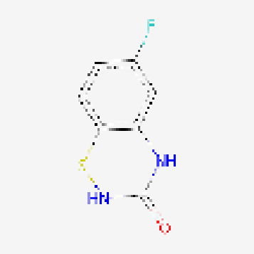 O=C1NSc2ccc(F)cc2N1